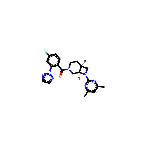 Cc1cc(C)nc(N2C[C@@H]3CCN(C(=O)c4ccc(F)cc4-n4nccn4)C[C@@H]32)n1